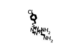 NCCN(N)c1ncnc(SCc2ccc(Cl)cc2)n1